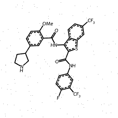 COc1ccc(C2CCNC2)cc1C(=O)Nc1c(C(=O)Nc2ccc(F)c(C(F)(F)F)c2)sc2cc(C(F)(F)F)ccc12